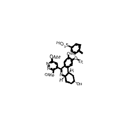 CCOc1cc2c(cc1OC)C(c1cc(OC)nnc1OC)=N[C@@H]1CC[C@@H](O)C[C@H]21.Cc1ccc(S(=O)(=O)O)cc1